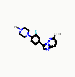 CC(C)N1CCN(c2ccc(-c3cnc4ccc(C=O)nn34)cc2F)CC1